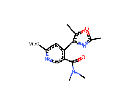 COc1cc(-c2nc(C)oc2C)c(C(=O)N(C)C)cn1